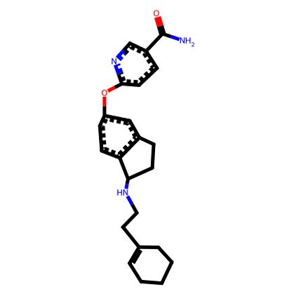 NC(=O)c1ccc(Oc2ccc3c(c2)CCC3NCCC2=CCCCC2)nc1